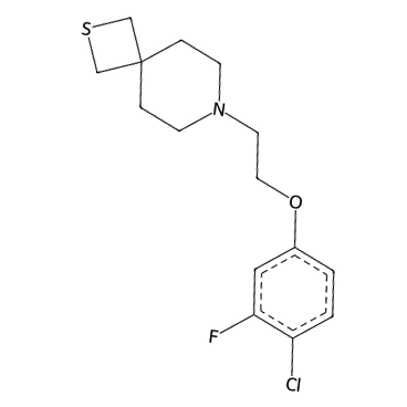 Fc1cc(OCCN2CCC3(CC2)CSC3)ccc1Cl